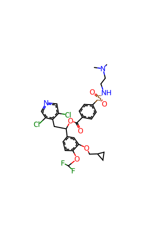 CN(C)CCNS(=O)(=O)c1ccc(C(=O)OC(Cc2c(Cl)cncc2Cl)c2ccc(OC(F)F)c(OCC3CC3)c2)cc1